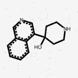 OC1(c2cncc3ccccc23)CCNCC1